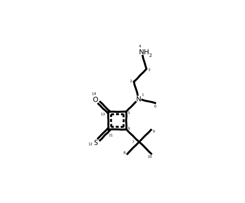 CN(CCN)c1c(C(C)(C)C)c(=S)c1=O